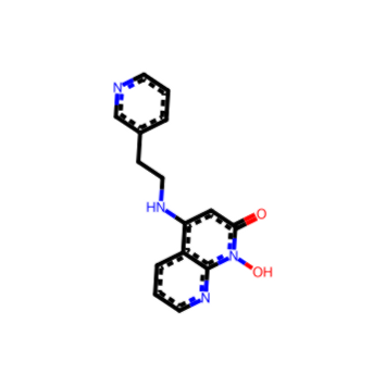 O=c1cc(NCCc2cccnc2)c2cccnc2n1O